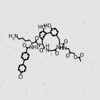 CC(=O)OCC(=O)CNC(=O)[C@@H]1Cc2ccc(O)c(c2)-c2cc(ccc2O)[C@H](N(C)C(=O)[C@H](CCCCN)NC(=O)c2ccc(-c3ccc(Cl)cc3)cc2)C(=O)N[C@@H](C)C(=O)N1